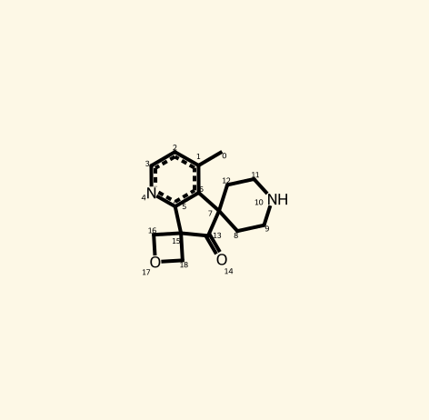 Cc1ccnc2c1C1(CCNCC1)C(=O)C21COC1